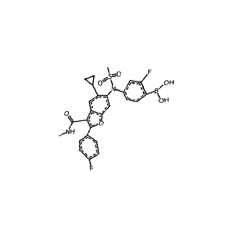 CNC(=O)c1c(-c2ccc(F)cc2)oc2cc(N(c3ccc(B(O)O)c(F)c3)S(C)(=O)=O)c(C3CC3)cc12